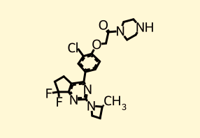 C[C@H]1CCN1c1nc(-c2ccc(OCC(=O)N3CCNCC3)c(Cl)c2)c2c(n1)C(F)(F)CC2